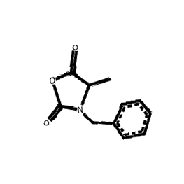 CC1C(=O)OC(=O)N1Cc1ccccc1